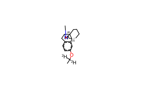 [2H]C([2H])(C)Oc1ccc2c(c1)[C@]13CCCC[C@H]1C(C2)N(C)CC3